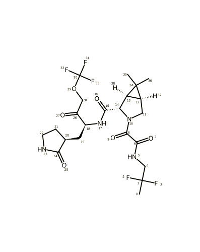 CC(F)(F)CNC(=O)C(=O)N1C[C@H]2[C@@H]([C@H]1C(=O)N[C@@H](C[C@@H]1CCNC1=O)C(=O)COC(F)(F)F)C2(C)C